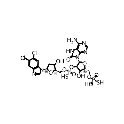 Nc1ncnc2c1[nH]c(=O)n2[C@@H]1O[C@H](COP(=O)(O)S)[C@@H](O)C1OP(=O)(S)OC[C@H]1O[C@@H](n2cnc3cc(Cl)c(Cl)cc32)CC1O